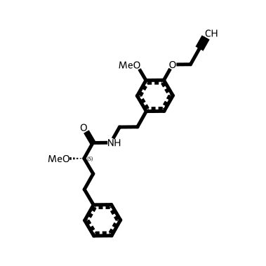 C#CCOc1ccc(CCNC(=O)[C@H](CCc2ccccc2)OC)cc1OC